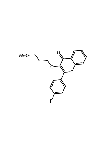 COCCCOc1c(-c2ccc(F)cc2)oc2ccccc2c1=O